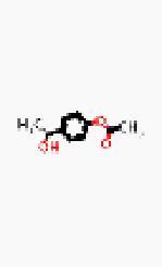 CC(=O)Oc1ccc([C@@H](C)O)cc1